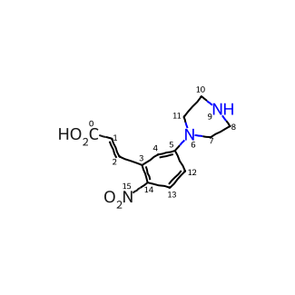 O=C(O)C=Cc1cc(N2CCNCC2)ccc1[N+](=O)[O-]